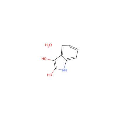 O.Oc1[nH]c2ccccc2c1O